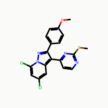 COc1ccc(-c2nn3c(Cl)cc(Cl)cc3c2-c2ccnc(SC)n2)cc1